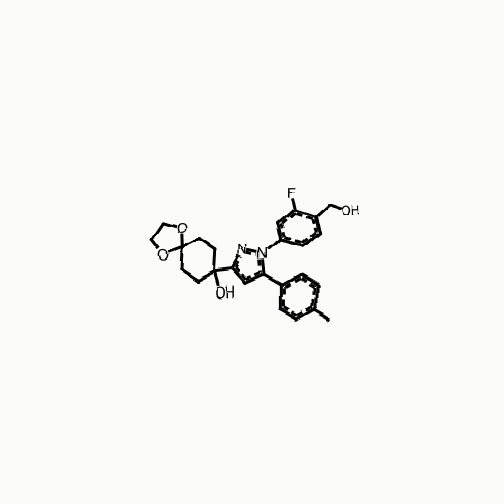 Cc1ccc(-c2cc(C3(O)CCC4(CC3)OCCO4)nn2-c2ccc(CO)c(F)c2)cc1